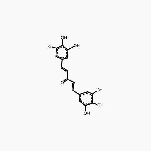 O=C(C=Cc1cc(O)c(O)c(Br)c1)C=Cc1cc(O)c(O)c(Br)c1